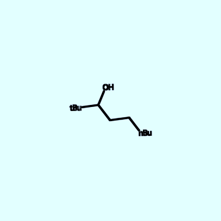 [CH2]C(C)(C)C(O)CCCCCC